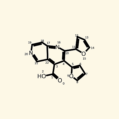 O=C(O)c1c(-c2ccco2)c(-c2ccco2)nc2ccncc12